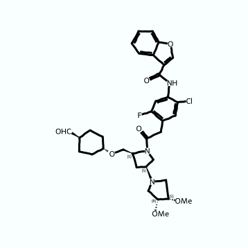 CO[C@H]1CN([C@H]2C[C@@H](CO[C@H]3CC[C@H](C=O)CC3)N(C(=O)Cc3cc(Cl)c(NC(=O)c4coc5ccccc45)cc3F)C2)C[C@H]1OC